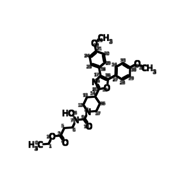 CCOC(=O)CCN(O)C(=O)N1CCC(c2nc(-c3ccc(OC)cc3)c(-c3ccc(OC)cc3)o2)CC1